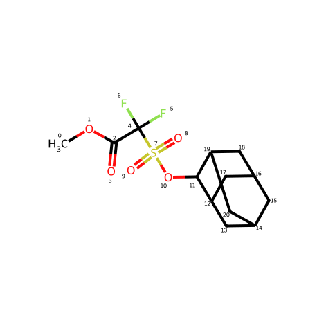 COC(=O)C(F)(F)S(=O)(=O)OC1C2CC3CC(C2)CC1C3